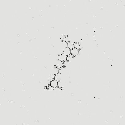 Nc1ncnc(N2CCC[C@@H](NC(=O)CNc3cc(Cl)cc(Cl)c3)C2)c1CCCO